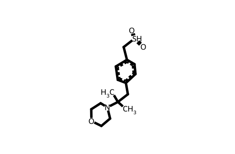 CC(C)(Cc1ccc(C[SH](=O)=O)cc1)N1CCOCC1